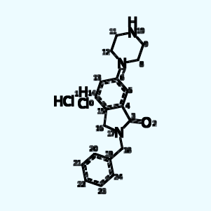 Cl.Cl.O=C1c2cc(N3CCNCC3)ccc2CN1Cc1ccccc1